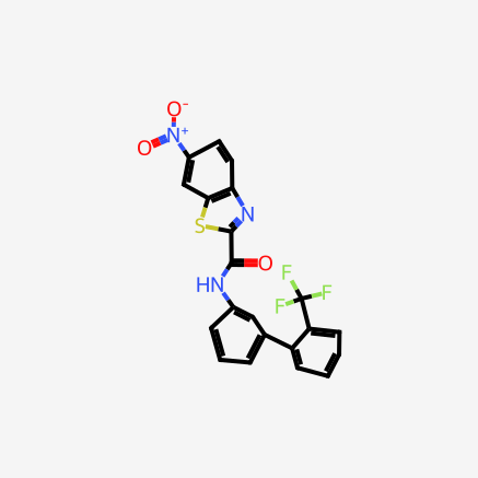 O=C(Nc1cccc(-c2ccccc2C(F)(F)F)c1)c1nc2ccc([N+](=O)[O-])cc2s1